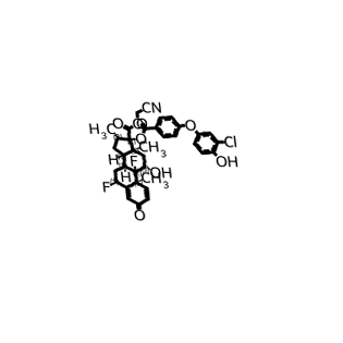 C[C@@H]1C[C@H]2[C@@H]3C[C@H](F)C4=CC(=O)C=C[C@]4(C)[C@@]3(F)[C@@H](O)C[C@]2(C)[C@@]1(OC(=O)c1ccc(Oc2ccc(O)c(Cl)c2)cc1)C(=O)OCC#N